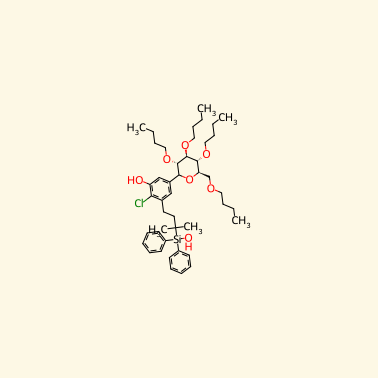 CCCCOC[C@H]1OC(c2cc(O)c(Cl)c(CCC(C)(C)[Si](O)(c3ccccc3)c3ccccc3)c2)[C@H](OCCCC)[C@@H](OCCCC)[C@@H]1OCCCC